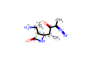 CC(=[N+]=[N-])C(=O)[C@H](C)[C@H]1NC(=O)[C@@H]1[C@@H](C)N